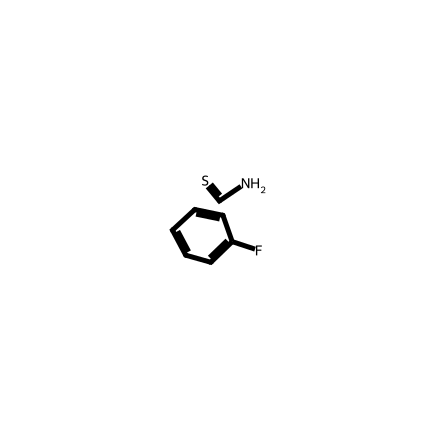 Fc1ccccc1.NC=S